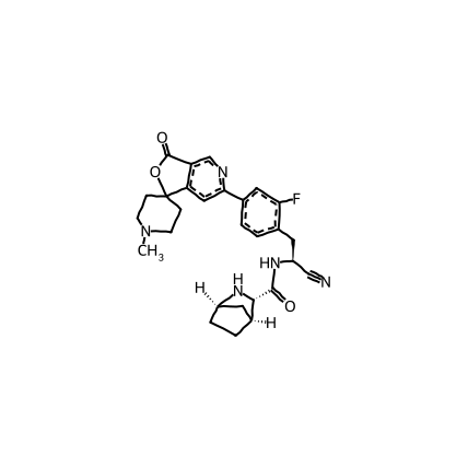 CN1CCC2(CC1)OC(=O)c1cnc(-c3ccc(C[C@@H](C#N)NC(=O)[C@H]4N[C@@H]5CC[C@H]4C5)c(F)c3)cc12